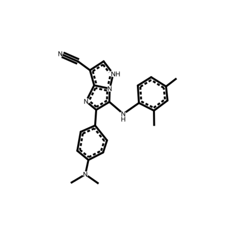 Cc1ccc(Nc2c(-c3ccc(N(C)C)cc3)nc3c(C#N)c[nH]n23)c(C)c1